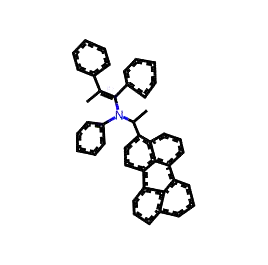 C/C(=C(/c1ccccc1)N(c1ccccc1)C(C)c1ccc2c3cccc4cccc(c5cccc1c52)c43)c1ccccc1